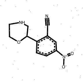 N#Cc1cc([N+](=O)[O-])ccc1C1CNCCO1